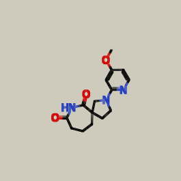 COc1ccnc(N2CCC3(CCCC(=O)NC3=O)C2)c1